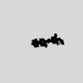 N#CSc1c(F)cc(C#Cc2ccc(-c3ccccc3)cc2F)cc1F